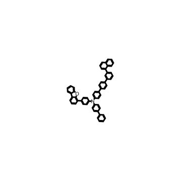 c1ccc(-c2ccc(N(c3ccc(-c4ccc(-c5cccc(-c6cccc7ccccc67)c5)cc4)cc3)c3ccc(-c4cccc5c4oc4ccccc45)cc3)cc2)cc1